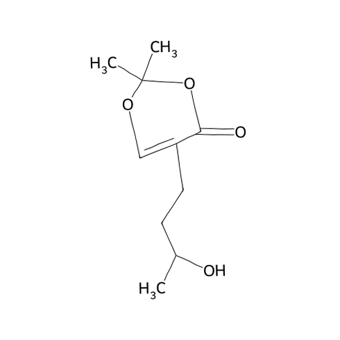 CC(O)CCC1=COC(C)(C)OC1=O